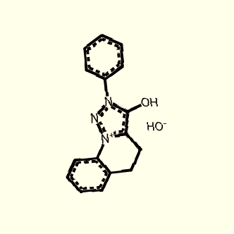 Oc1c2[n+](nn1-c1ccccc1)-c1ccccc1CC2.[OH-]